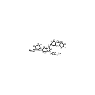 CCOC(=O)Cc1cn(Cc2ccc(Oc3ccccc3)cc2)c2cc(-c3cccc(OC(C)=O)c3)ccc12